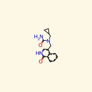 NC(=O)N(Cc1c[nH]c(=O)c2ccccc12)CC1CC1